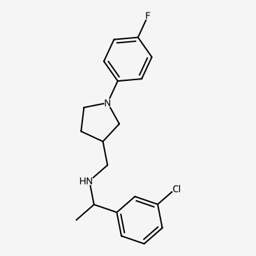 CC(NCC1CCN(c2ccc(F)cc2)C1)c1cccc(Cl)c1